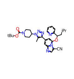 Cc1c(-c2cc(OC(CC(C)C)c3ccccn3)n3c(C#N)cnc3c2)nnn1C1CCN(C(=O)OC(C)(C)C)CC1